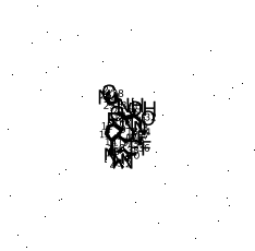 Cc1nn(C)cc1[C@H](c1cc(F)ccc1C#N)[C@@H](c1nc(C(=O)Nc2cnoc2)c(O)c(=O)n1C)C(F)(F)F